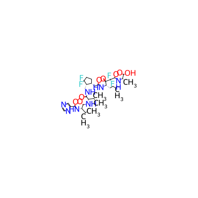 CCC[C@H](NC(=O)C[C@H]1CCC(F)(F)[C@H]1CNC(=O)[C@@H](NC(=O)[C@@H](NC(=O)c1cnccn1)C(C)C)C(C)C)C(=O)C(F)(F)C(=O)N[C@@H](C)C(=O)O